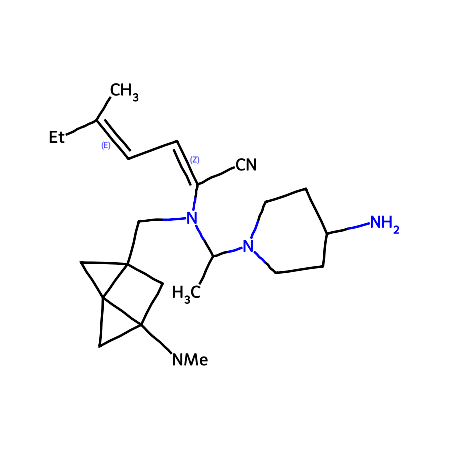 CC/C(C)=C/C=C(/C#N)N(CC12CC3(NC)CC13C2)C(C)N1CCC(N)CC1